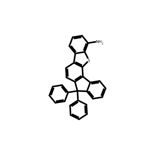 Nc1cccc2c1sc1c3c(ccc12)C(c1ccccc1)(c1ccccc1)c1ccccc1-3